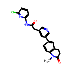 CN1C(=O)CCc2cc(-c3cncc(CC(=O)Nc4cccc(Cl)n4)c3)ccc21